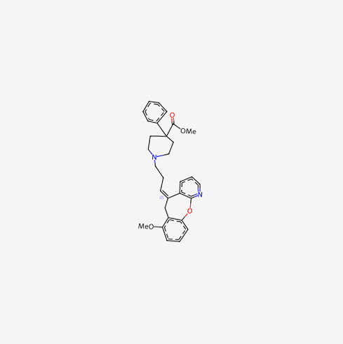 COC(=O)C1(c2ccccc2)CCN(CC/C=C2/Cc3c(OC)cccc3Oc3ncccc32)CC1